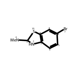 CNC1Nc2ccc(Br)cc2S1